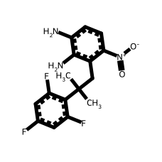 CC(C)(Cc1c([N+](=O)[O-])ccc(N)c1N)c1c(F)cc(F)cc1F